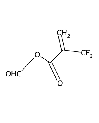 C=C(C(=O)OC=O)C(F)(F)F